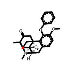 COc1ccc2c(c1Oc1ccccc1)[C@]13CCN(C)[C@H](C2)[C@]1(OC)CC(C)C(=O)C3